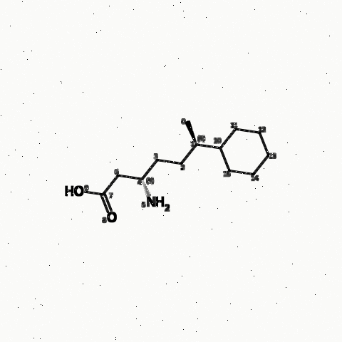 C[C@H](CC[C@H](N)CC(=O)O)C1CCCCC1